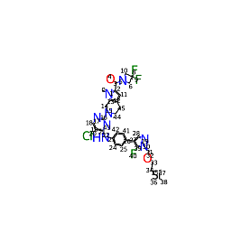 Cn1c(C(=O)N2CC(F)(F)C2)cc2c1CN(c1ncc(Cl)c(Nc3ccc(-c4cnn(COCC[Si](C)(C)C)c4F)cc3)n1)CC2